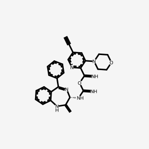 C#Cc1cnc(C(=N)OC(=N)N[C@H]2N=C(c3ccccc3)c3ccccc3NC2=C)c(N2CCOCC2)c1